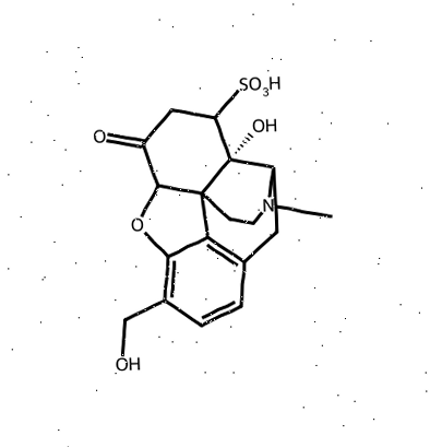 CN1CCC23c4c5ccc(CO)c4OC2C(=O)CC(S(=O)(=O)O)[C@@]3(O)C1C5